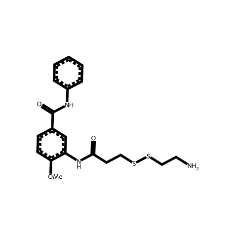 COc1ccc(C(=O)Nc2ccccc2)cc1NC(=O)CCSSCCN